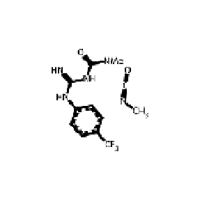 CN=C=O.CNC(=O)NC(=N)Nc1ccc(C(F)(F)F)cc1